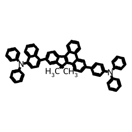 CC1(C)c2cc(-c3ccc(N(c4ccccc4)c4ccccc4)c4ccccc34)ccc2-c2c1c1ccc(-c3ccc(N(c4ccccc4)c4ccccc4)cc3)cc1c1ccccc21